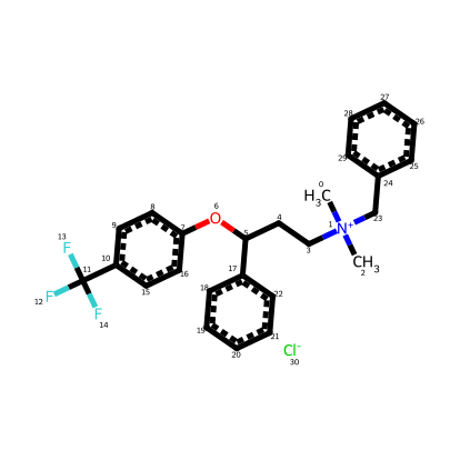 C[N+](C)(CCC(Oc1ccc(C(F)(F)F)cc1)c1ccccc1)Cc1ccccc1.[Cl-]